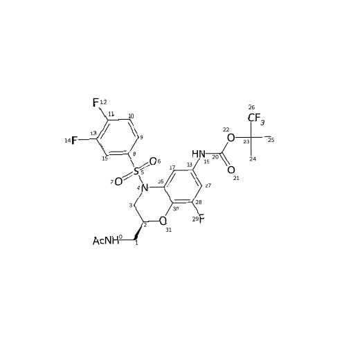 CC(=O)NC[C@H]1CN(S(=O)(=O)c2ccc(F)c(F)c2)c2cc(NC(=O)OC(C)(C)C(F)(F)F)cc(F)c2O1